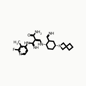 Cc1c(NC(=N)/C(=C\N[C@H]2CC[C@@H](N3CC4(CCC4)C3)CC2C=N)C(N)=O)ccnc1F